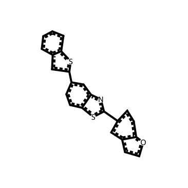 c1ccc2sc(-c3ccc4sc(-c5ccc6occc6c5)nc4c3)cc2c1